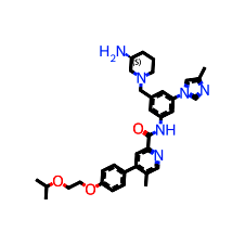 Cc1cn(-c2cc(CN3CCC[C@H](N)C3)cc(NC(=O)c3cc(-c4ccc(OCCOC(C)C)cc4)c(C)cn3)c2)cn1